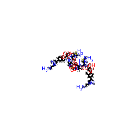 C[n+]1cc(-c2ccc3c(c2)CC[C@H]([C@@H](O/N=C(\C(=O)N[C@@H]2C(=O)N(OS(=O)(=O)ON4C(=O)[C@@H](NC(=O)/C(=N\O[C@@H](C(=O)O)[C@H]5CCc6cc(-c7cn(CCCN)[n+](C)c7)ccc6O5)c5csc(N)n5)C4(C)C)C2(C)C)c2csc(N)n2)C(=O)O)O3)cn1CCCN